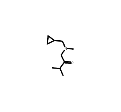 CC(C)C(=O)CN(C)CC1CC1